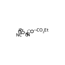 CCOC(=O)CCc1ccc2c(c1)CCc1c-2noc1-c1ccc(OC(C)C)c(C#N)c1